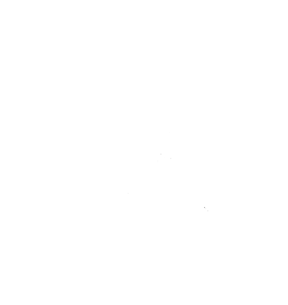 Cc1ccc(C2=CC=CC2)c2c1-c1ccccc1[CH]2[Zr+2]=[C](c1ccccc1)c1ccccc1.[Cl-].[Cl-]